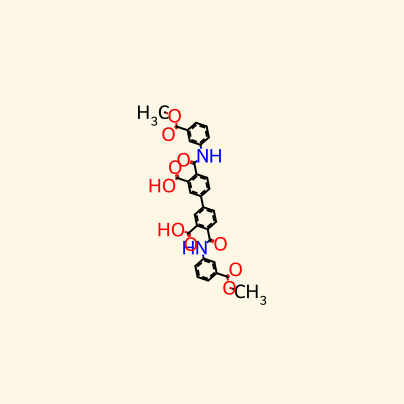 COC(=O)c1cccc(NC(=O)c2ccc(-c3ccc(C(=O)Nc4cccc(C(=O)OC)c4)c(C(=O)O)c3)cc2C(=O)O)c1